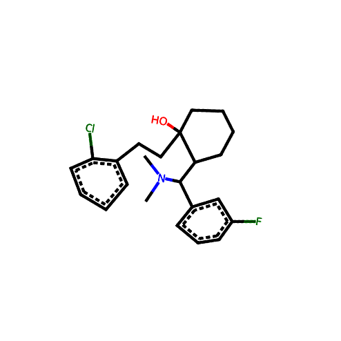 CN(C)C(c1cccc(F)c1)C1CCCCC1(O)CCc1ccccc1Cl